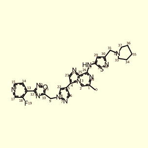 Cc1cn2c(-c3cnn(Cc4nc(-c5ccncc5F)no4)c3)cnc2c(Nc2cc(CN3CCCCC3)ns2)n1